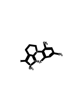 Cc1cc(C)c(N2CCCc3c2nn(C)c3I)c(C)c1